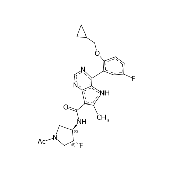 CC(=O)N1C[C@@H](F)[C@H](NC(=O)c2c(C)[nH]c3c(-c4cc(F)ccc4OCC4CC4)ncnc23)C1